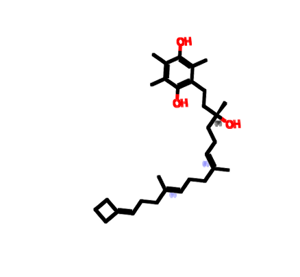 C/C(=C\CC/C(C)=C/CC[C@@](C)(O)CCc1c(C)c(O)c(C)c(C)c1O)CCC=C1CCC1